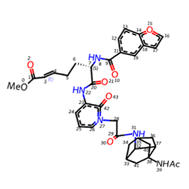 COC(=O)/C=C/CC[C@H](NC(=O)c1ccc2occc2c1)C(=O)Nc1cccn(CC(=O)NC2C3CC4CC2C(NC(C)=O)(C4)C3)c1=O